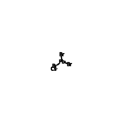 [Br][Pb]([Br])[Br].[Cs]